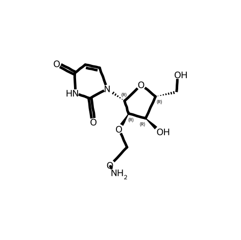 NOCO[C@@H]1[C@H](O)[C@@H](CO)O[C@H]1n1ccc(=O)[nH]c1=O